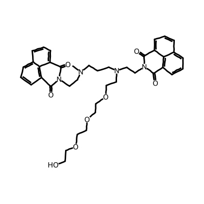 CN(CCCN(CCOCCOCCOCCO)CCN1C(=O)c2cccc3cccc(c23)C1=O)CCN1C(=O)c2cccc3cccc(c23)C1=O